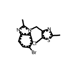 Cc1nc(Cn2c(C)nc3ccc(Br)cc32)c(Cl)s1